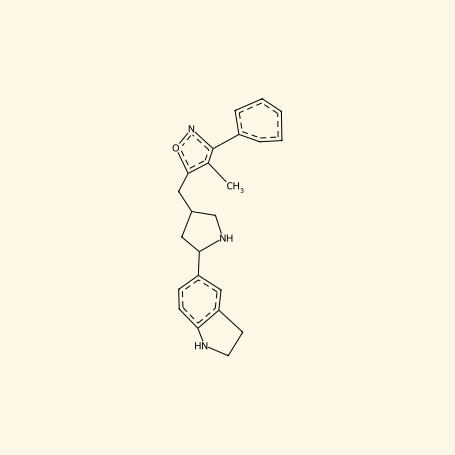 Cc1c(-c2ccccc2)noc1CC1CNC(c2ccc3c(c2)CCN3)C1